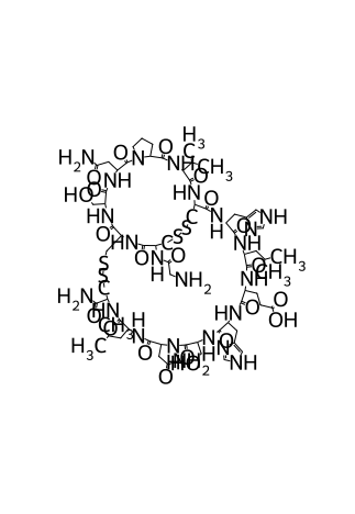 CC(C)CC1NC(=O)C(CC(N)=O)NC(=O)C(CO)NC(=O)C(Cc2c[nH]cn2)NC(=O)C(CCC(=O)O)NC(=O)C(CC(C)C)NC(=O)C(Cc2c[nH]cn2)NC(=O)C2CSSCC(NC(=O)CN)C(=O)NC(CSSCC(C(N)=O)NC1=O)C(=O)NC(CO)C(=O)NC(CC(N)=O)C(=O)N1CCCC1C(=O)NC(C(C)C)C(=O)N2